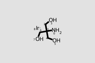 NC(CO)(CO)CO.[Ir]